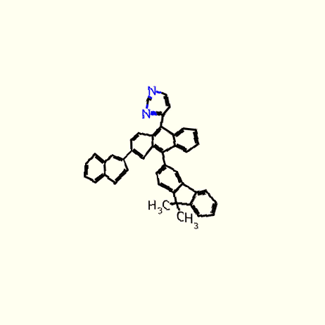 CC1(C)c2ccccc2-c2cc(-c3c4ccccc4c(-c4ccncn4)c4ccc(-c5ccc6ccccc6c5)cc34)ccc21